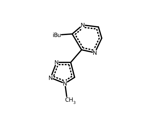 CCC(C)c1nccnc1-c1cn(C)nn1